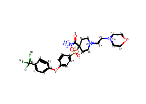 NC(=O)C1(S(=O)(=O)c2ccc(Oc3ccc(C(F)(F)F)cc3)cc2)CCN(CCN2CCOCC2)CC1